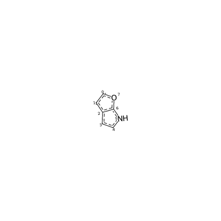 [c]1[c]c2cc[nH]c2o1